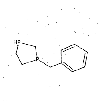 c1ccc(CP2CCPC2)cc1